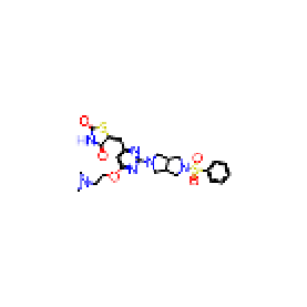 CN(C)CCOc1cc(/C=C2/SC(=O)NC2=O)nc(N2CC3CN(S(=O)(=O)c4ccccc4)CC3C2)n1